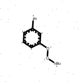 CCCCOOc1cccc(C(C)C)c1